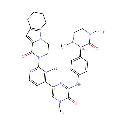 CCc1c(-c2cn(C)c(=O)c(Nc3ccc([C@@H]4C(=O)N(C)CCN4C)cc3)n2)ccnc1N1CCn2c(cc3c2CCCC3)C1=O